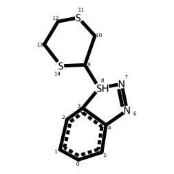 c1ccc2c(c1)N=N[SH]2[C]1CSCCS1